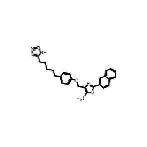 Cc1oc(-c2ccc3ccccc3c2)nc1COc1ccc(CCCCCc2nnn[nH]2)cc1